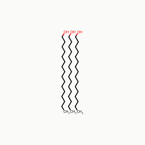 CCCCCCCCCCCCCCCCO.CCCCCCCCCCCCCCCCO.CCCCCCCCCCCCCCCCO